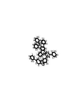 c1ccc(-c2ccc3oc4ccc(-c5nc(-c6ccccc6)nc(-c6cc7c(cc6-c6ccccc6)[Si](c6ccccc6)(c6ccccc6)c6ccccc6-7)n5)cc4c3c2)cc1